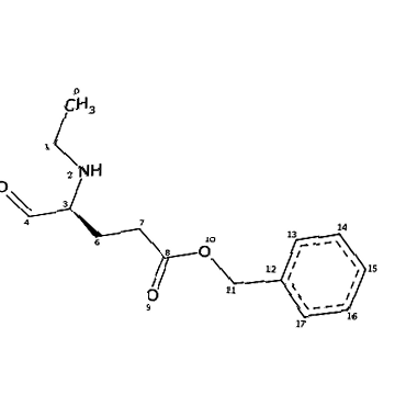 CCN[C@H](C=O)CCC(=O)OCc1ccccc1